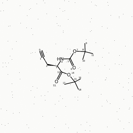 C#CC[C@@H](NC(=O)OC(C)(C)C)C(=O)OC(C)(C)C